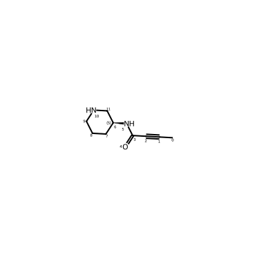 CC#CC(=O)N[C@H]1CCCNC1